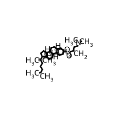 C=C(CCN(C)C)C(=O)O[C@H]1CC[C@@]2(C)[C@H](CC[C@@H]3[C@H]2CC[C@]2(C)C([C@H](C)CCCC(C)C)CC[C@H]32)C1